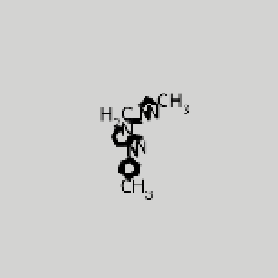 C=C(Cn1ccc(C)n1)N1CCCc2c1cnn2-c1ccc(C)cc1